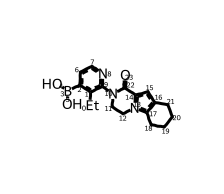 CCc1c(B(O)O)ccnc1N1CCn2c(cc3c2CCCC3)C1=O